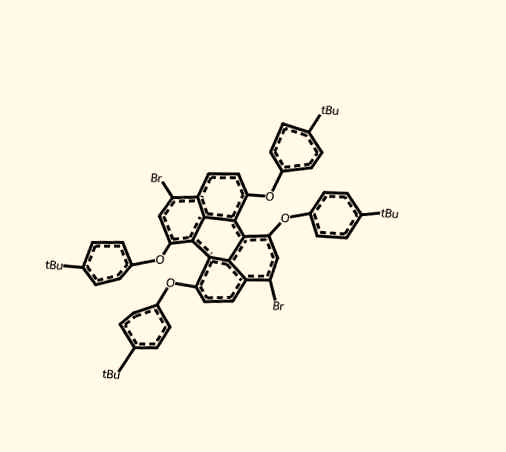 CC(C)(C)c1ccc(Oc2ccc3c(Br)cc(Oc4ccc(C(C)(C)C)cc4)c4c5c(Oc6ccc(C(C)(C)C)cc6)ccc6c(Br)cc(Oc7ccc(C(C)(C)C)cc7)c(c2c34)c65)cc1